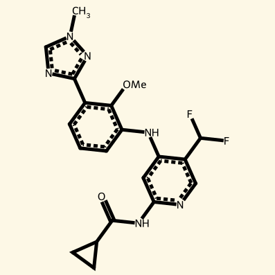 COc1c(Nc2cc(NC(=O)C3CC3)ncc2C(F)F)cccc1-c1ncn(C)n1